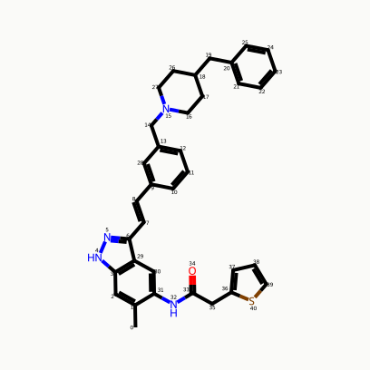 Cc1cc2[nH]nc(C=Cc3cccc(CN4CCC(Cc5ccccc5)CC4)c3)c2cc1NC(=O)Cc1cccs1